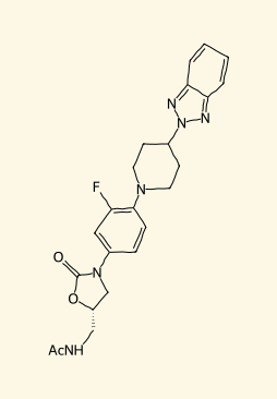 CC(=O)NC[C@H]1CN(c2ccc(N3CCC(n4nc5ccccc5n4)CC3)c(F)c2)C(=O)O1